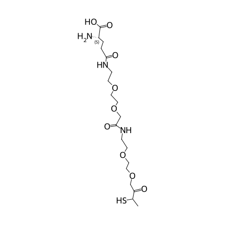 CC(S)C(=O)COCCOCCNC(=O)COCCOCCNC(=O)CC[C@H](N)C(=O)O